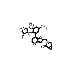 Cc1cc(C(F)(F)F)cc(-c2ccnc3cc(CN4CC5CC5C4=O)sc23)c1O[C@@H]1CNC[C@@H]1F